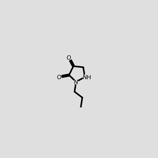 CCCN1NCC(=O)C1=O